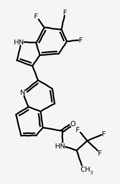 CC(NC(=O)c1cccc2nc(-c3c[nH]c4c(F)c(F)c(F)cc34)ccc12)C(F)(F)F